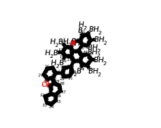 Bc1c(B)c(B)c(-c2c3c(B)c(B)c(B)c(B)c3c(-c3cccc(-c4cccc5oc6c7ccccc7ccc6c45)c3)c3c(B)c(B)c(B)c(B)c23)c(B)c1B